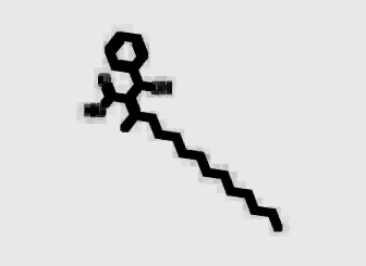 CCCCCCCCCCCCC(C)=C(C(=O)O)C(O)c1ccccc1